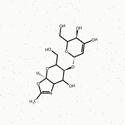 CC1=NC2C(O)[C@H](O[C@H]3C=C(O)[C@H](O)C(CO)O3)C(CO)O[C@@H]2O1